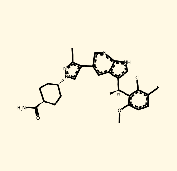 COc1ccc(F)c(Cl)c1[C@@H](C)c1c[nH]c2ncc(-c3cn([C@H]4CC[C@H](C(N)=O)CC4)nc3C)cc12